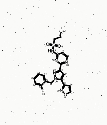 O=S(=O)(CCO)Nc1ccnc(-c2cc(-c3ccon3)n(Cc3ccccc3F)n2)n1